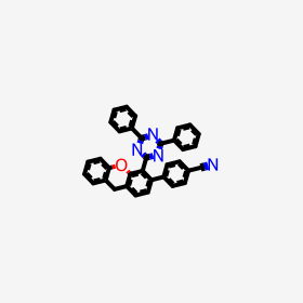 N#Cc1ccc(-c2ccc3c(c2-c2nc(-c4ccccc4)nc(-c4ccccc4)n2)Oc2ccccc2C3)cc1